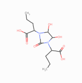 CCCC(C(=O)O)N1C(=O)N(C(CCC)C(=O)O)C(O)C1O